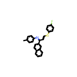 Cc1ccc(/N=C(/C=C/Sc2ccc(F)cc2)c2ccc3ccccc3c2)cc1